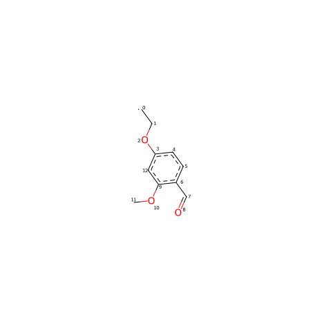 [CH2]COc1ccc(C=O)c(OC)c1